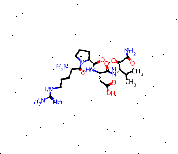 CC(C)[C@H](NC(=O)[C@H](CC(=O)O)NC(=O)[C@@H]1CCCN1C(=O)[C@@H](N)CCCNC(=N)N)C(=O)C(N)=O